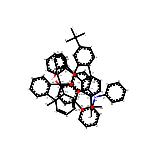 CC(C)(C)c1ccc2c(c1)C1(c3ccccc3Oc3ccc(-c4ccccc4N(c4ccccc4)c4ccc5c(c4)C4(c6ccccc6-5)c5ccccc5C5(C)C=CC=CC54)cc31)c1cc(C(C)(C)C)ccc1-2